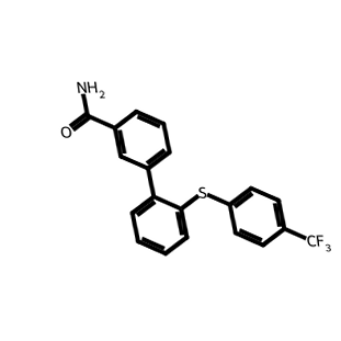 NC(=O)c1cccc(-c2ccccc2Sc2ccc(C(F)(F)F)cc2)c1